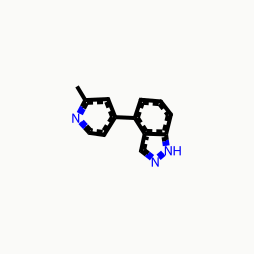 Cc1cc(-c2cccc3[nH]ncc23)ccn1